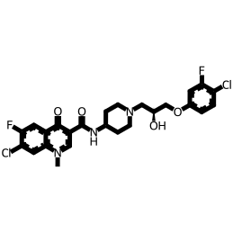 Cn1cc(C(=O)NC2CCN(C[C@H](O)COc3ccc(Cl)c(F)c3)CC2)c(=O)c2cc(F)c(Cl)cc21